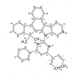 C/C=C\C(=C/C)c1cc(-c2ccccc2)nc(-n2c3cnccc3c3c4ccccc4c4c(c32)C(C)(C)c2ccccc2-4)n1